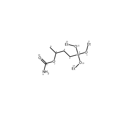 CCO[Si](CCC(C)OC(N)=O)(OCC)OCC